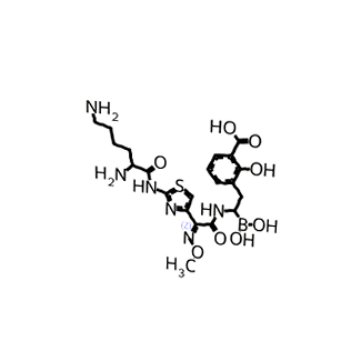 CO/N=C(\C(=O)NC(Cc1cccc(C(=O)O)c1O)B(O)O)c1csc(NC(=O)C(N)CCCCN)n1